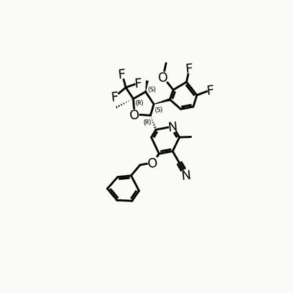 COc1c([C@H]2[C@H](c3cc(OCc4ccccc4)c(C#N)c(C)n3)O[C@@](C)(C(F)(F)F)[C@H]2C)ccc(F)c1F